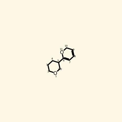 [C]1OCCCC1C1=CC=CCO1